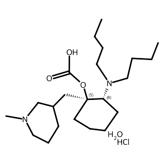 CCCCN(CCCC)[C@@H]1CCCC[C@@]1(CC1CCCN(C)C1)OC(=O)O.Cl.O